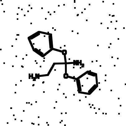 NCCC(N)(Oc1ccccc1)Oc1ccccc1